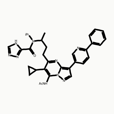 CC(=O)Nc1c(C2CC2)c(CCC(C)N(C(=O)c2nnc[nH]2)C(C)C)nc2c(-c3ccc(-c4ccccc4)nc3)cnn12